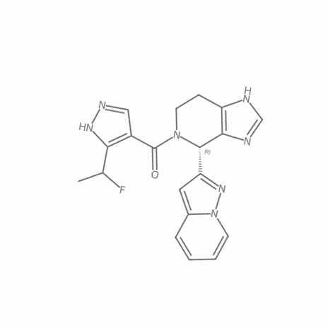 CC(F)c1[nH]ncc1C(=O)N1CCc2[nH]cnc2[C@@H]1c1cc2ccccn2n1